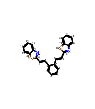 C(=Cc1ccccc1C=Cc1nc2ccccc2s1)c1nc2ccccc2s1